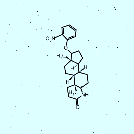 C[C@]12CCC(=O)NC1CC[C@@H]1[C@H]2CC[C@]2(C)C(Oc3ccccc3[N+](=O)[O-])CC[C@@H]12